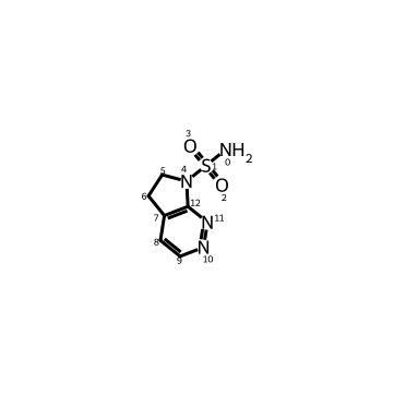 NS(=O)(=O)N1CCc2ccnnc21